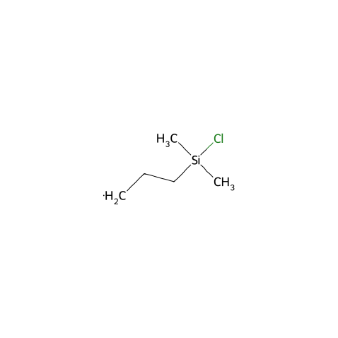 [CH2]CC[Si](C)(C)Cl